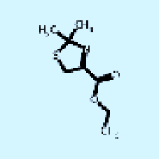 CCOC(=O)C1=NC(C)(C)SC1